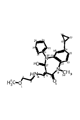 COCCN/C=C1/C(=O)N(C)c2ccc(C3CC3)cc2N(c2ccccc2)C1=O